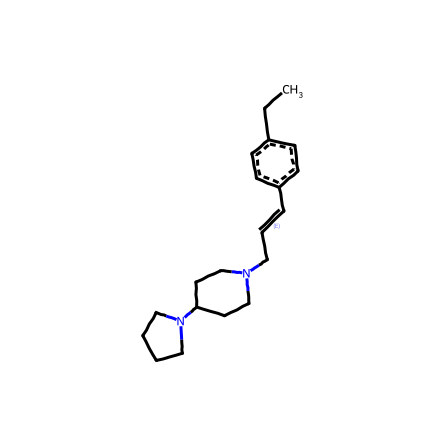 CCc1ccc(/C=C/CN2CCC(N3CCCC3)CC2)cc1